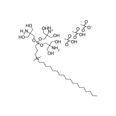 CCCCCCCCCCCCCCCCCC[N+](C)(C)CCC[Si](OCC(N)(CO)CO)(OCC(N)(CO)CO)OCC(N)(CO)CO.CS(=O)(=O)O.CS(=O)(=O)O.CS(=O)(=O)[O-]